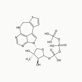 C[C@@]1(O)[C@H](O)C(OP(=O)(O)OP(=O)(O)OP(=O)(O)O)O[C@H]1n1cc2c3c(ncnc31)NCc1sccc1-2